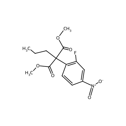 CCCC(C(=O)OC)(C(=O)OC)c1ccc([N+](=O)[O-])cc1F